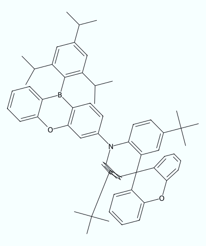 CC(C)c1cc(C(C)C)c(B2c3ccccc3Oc3cc(N4c5ccc(C(C)(C)C)cc5C5(c6ccccc6Oc6ccccc65)c5cc(C(C)(C)C)ccc54)ccc32)c(C(C)C)c1